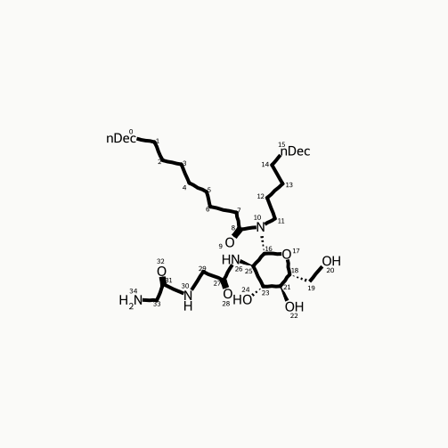 CCCCCCCCCCCCCCCCCC(=O)N(CCCCCCCCCCCCCC)[C@@H]1O[C@H](CO)[C@@H](O)[C@H](O)[C@H]1NC(=O)CNC(=O)CN